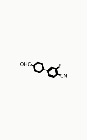 N#Cc1ccc([C@H]2CC[C@H](C=O)CC2)cc1F